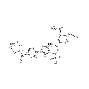 COc1ccc([C@@H]2C[C@H](C(F)(F)F)n3nc(-c4ccc(C(=O)N5CCNCC5)cc4)cc3N2)cc1OC